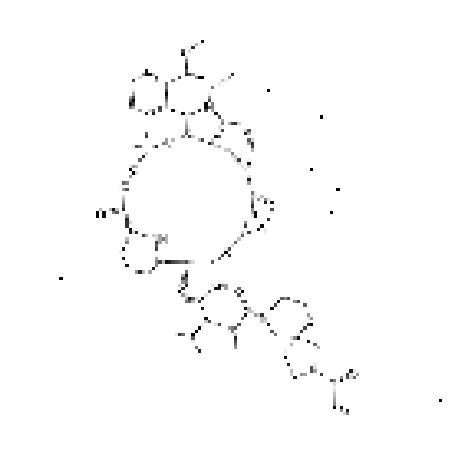 C=CC(=O)N1CC[C@]2(C1)CN(C(=O)N(C)[C@H](C(=O)N[C@H]1Cc3nc(cs3)-c3ccc4c(c3)c(c(-c3cccnc3[C@H](C)OC)n4CC)CC(C)(C)COC(=O)[C@@H]3CCCN(N3)C1=O)C(C)C)CCO2